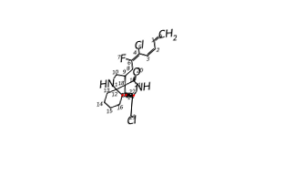 C=C/C=C\C(Cl)=C(\F)CC1CNC2(CCCCC2)[C@@]12C(=O)Nc1cc(Cl)ccc12